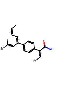 C\C=C/C=C(\C=C(/C)CC)c1ccc(/C(=C\CCC)C(N)=O)cc1